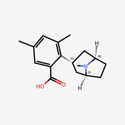 Cc1cc(C)c([C@@H]2C[C@H]3CC[C@@H](C2)N3C)c(C(=O)O)c1